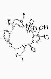 O=C1c2cc(Cl)c(O)c(c2)S(=O)(=O)Nc2cc(c(F)cc2F)-c2ccccc2OCCN1CC(F)F